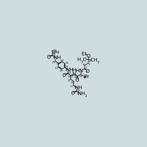 CCOC(C)(C)CCC(=O)NC(C(=O)N[C@@H](CCCNC(N)=O)C(=O)Nc1ccc(CNC(=O)C(C)(C)C)cc1)C(C)C